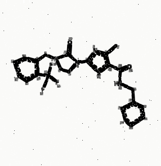 Cc1nc(N2CCN(Cc3ccccc3C(F)(F)F)C2=O)sc1C(=O)NCc1ccccc1